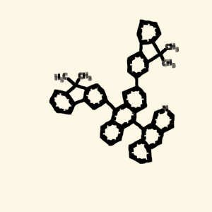 CC1(C)c2ccccc2-c2cc(-c3c4ccccc4c(-c4c5ccccc5cc5ccncc45)c4ccc(-c5ccc6c(c5)C(C)(C)c5ccccc5-6)cc34)ccc21